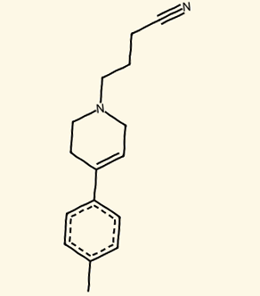 Cc1ccc(C2=CCN(CCCC#N)CC2)cc1